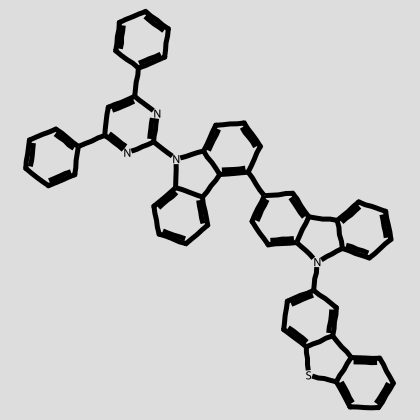 c1ccc(-c2cc(-c3ccccc3)nc(-n3c4ccccc4c4c(-c5ccc6c(c5)c5ccccc5n6-c5ccc6sc7ccccc7c6c5)cccc43)n2)cc1